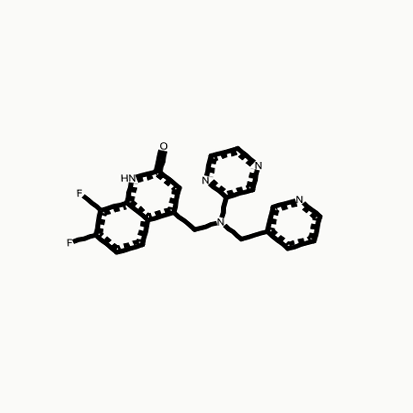 O=c1cc(CN(Cc2cccnc2)c2cnccn2)c2ccc(F)c(F)c2[nH]1